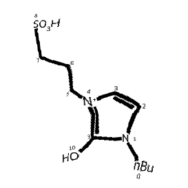 CCCCn1cc[n+](CCCS(=O)(=O)O)c1O